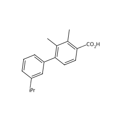 Cc1c(C(=O)O)ccc(-c2cccc(C(C)C)c2)c1C